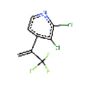 C=C(c1ccnc(Cl)c1Cl)C(F)(F)F